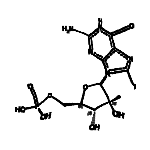 C[C@]1(O)C(n2c(I)nc3c(=O)[nH]c(N)nc32)O[C@H](COP(=O)(O)O)[C@H]1O